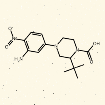 CC(C)(C)C1CN(c2ccc([N+](=O)[O-])c(N)c2)CCN1C(=O)O